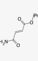 CC(C)OC(=O)C=CC(N)=O